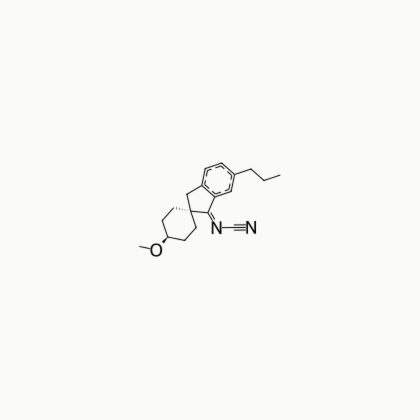 CCCc1ccc2c(c1)/C(=N\C#N)[C@]1(CC[C@H](OC)CC1)C2